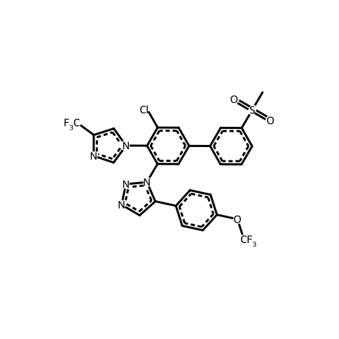 CS(=O)(=O)c1cccc(-c2cc(Cl)c(-n3cnc(C(F)(F)F)c3)c(-n3nncc3-c3ccc(OC(F)(F)F)cc3)c2)c1